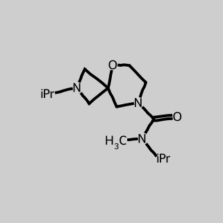 CC(C)N1CC2(CN(C(=O)N(C)C(C)C)CCO2)C1